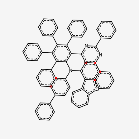 c1ccc(-c2ccc(N(c3c(-c4ccccc4)c(-c4ccccc4)c(-c4ccccc4)c(-c4ccccc4)c3-c3nc(-c4ccccc4)nc(-c4ccccc4)n3)c3cccc4oc5ccccc5c34)cc2)cc1